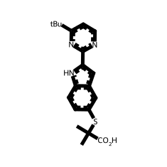 CC(C)(Sc1ccc2[nH]c(-c3nccc(C(C)(C)C)n3)cc2c1)C(=O)O